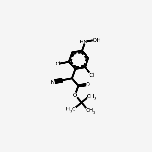 CC(C)(C)OC(=O)C(C#N)c1c(Cl)cc(NO)cc1Cl